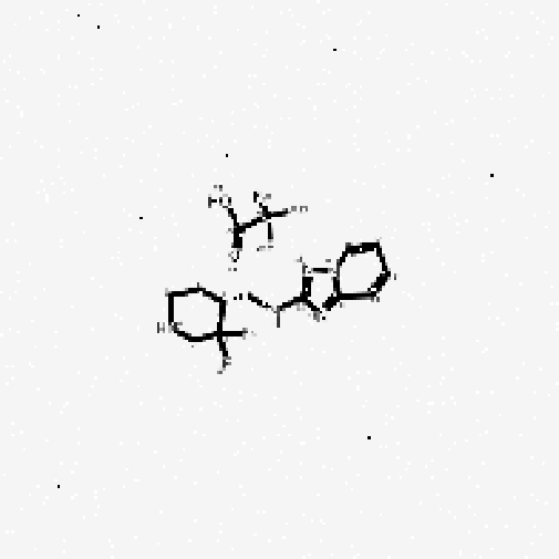 FC1(F)CNCC[C@@H]1CNc1nc2ccccn2n1.O=C(O)C(F)(F)F